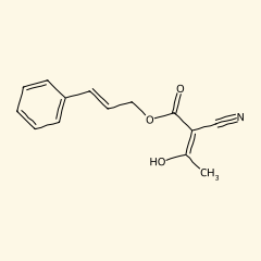 CC(O)=C(C#N)C(=O)OCC=Cc1ccccc1